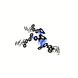 CC1(C)c2ccccc2-c2cc(-c3ccc4c(c3)c3ccccc3n4-c3ccc(-c4nc(-n5c6ccccc6c6cc(-c7ccc8c(c7)-c7ccccc7C8(C)C)ccc65)nc5ccc(-n6c7ccccc7c7cc(-c8ccc9c(c8)-c8ccccc8C9(C)C)ccc76)cc45)cc3)ccc21